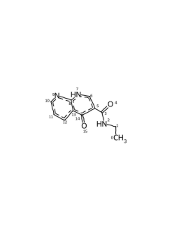 CCNC(=O)c1c[nH]c2ncccc2c1=O